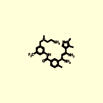 Cc1ccc(C(=O)Nc2cc(CN(C)CCN)cc(C(F)(F)F)c2)cc1N(N)/C=C(\N)c1cnn(C)c1C